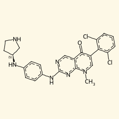 Cn1cc(-c2c(Cl)cccc2Cl)c(=O)c2cnc(Nc3ccc(N[C@H]4CCNC4)cc3)nc21